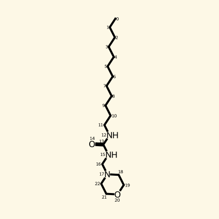 CCCCCCCCCCCCNC(=O)NCN1CCOCC1